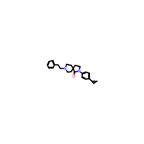 O=C1N(c2ccc(C3CC3)cc2)CCC12CCN(CCc1ccccc1)CC2